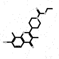 CCOC(=O)N1CCC(c2oc3c(C)c(O)ccc3c(=O)c2C)CC1